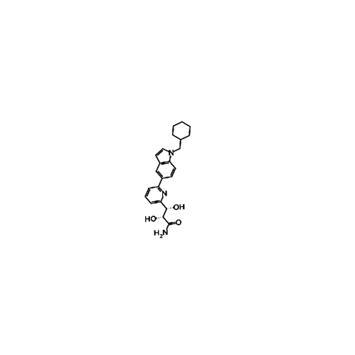 NC(=O)[C@H](O)[C@@H](O)c1cccc(-c2ccc3c(ccn3CC3CCCCC3)c2)n1